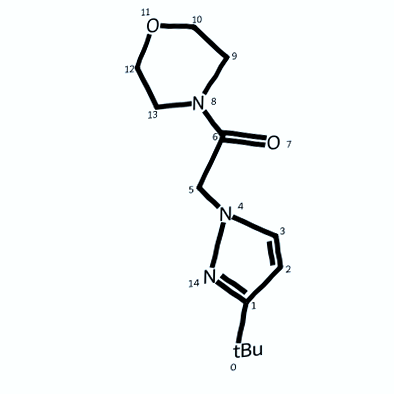 CC(C)(C)c1ccn(CC(=O)N2CCOCC2)n1